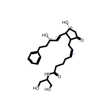 O=C(CCC/C=C\CC1C(=O)C[C@@H](O)C1/C=C/[C@@H](O)CCc1ccccc1)NC(CO)CO